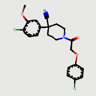 COc1cc(C2(C#N)CCN(C(=O)COc3ccc(Cl)cc3)CC2)ccc1Cl